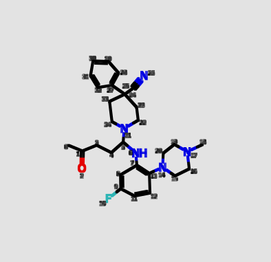 CC(=O)CCC(Nc1cc(F)ccc1N1CCN(C)CC1)N1CCC(C#N)(c2ccccc2)CC1